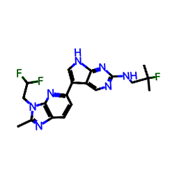 Cc1nc2ccc(-c3c[nH]c4nc(NCC(C)(C)F)ncc34)nc2n1CC(F)F